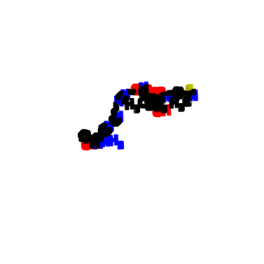 Cc1ncsc1-c1ccc(CNC(=O)[C@@H]2C[C@@H](O)CN2C(=O)[C@H](c2cc(OCCN3CCN(CCCc4cc(N5CC6CCCC5CN6c5cc(-c6ccccc6O)nnc5N)ccn4)CC3)no2)C(C)C)cc1